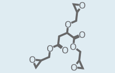 O=C(CC(OCC1CO1)C(=O)OCC1CO1)OCC1CO1